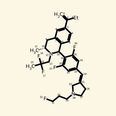 C=C(CC)c1ccc2c(c1)C[C@@H](C)N(CC(C)(F)F)C2c1c(F)cc(/C=C2/CCN(CCCF)C2)cc1F